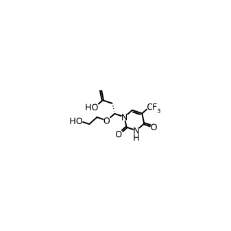 C=C(O)C[C@@H](OCCO)n1cc(C(F)(F)F)c(=O)[nH]c1=O